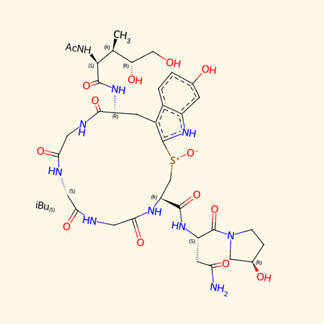 CC[C@H](C)[C@@H]1NC(=O)CNC(=O)[C@H](NC(=O)[C@@H](NC(C)=O)[C@@H](C)[C@@H](O)CO)Cc2c([nH]c3cc(O)ccc23)[S+]([O-])C[C@@H](C(=O)N[C@@H](CC(N)=O)C(=O)N2CC[C@@H](O)C2)NC(=O)CNC1=O